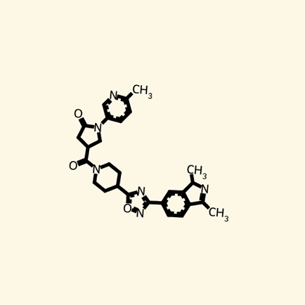 CC1=NC(C)c2cc(-c3noc(C4CCN(C(=O)C5CC(=O)N(c6ccc(C)nc6)C5)CC4)n3)ccc21